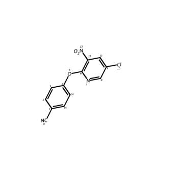 N#Cc1ccc(Oc2ncc(Cl)cc2[N+](=O)[O-])cc1